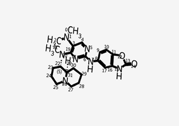 CN(C)c1cnc(Nc2ccc3oc(=O)[nH]c3c2)nc1N(C)[C@H]1CCCN2CCCC[C@H]12